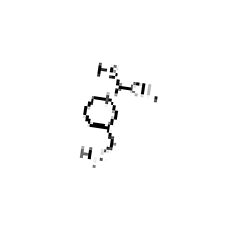 CCC1=CCCN(C(C)S)C1